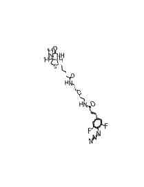 [N-]=[N+]=Nc1c(F)cc(/C=C/C(=O)NCCOCCNC(=O)CCCC[C@@H]2SC[C@@H]3NC(=O)N[C@@H]32)cc1F